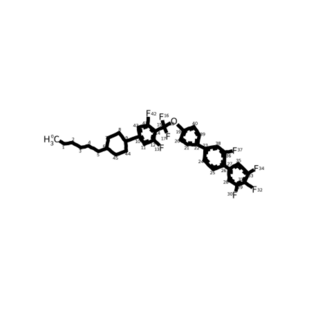 CCCCCCC1CCC(c2cc(F)c(C(F)(F)Oc3ccc(-c4ccc(-c5cc(F)c(F)c(F)c5)c(F)c4)cc3)c(F)c2)CC1